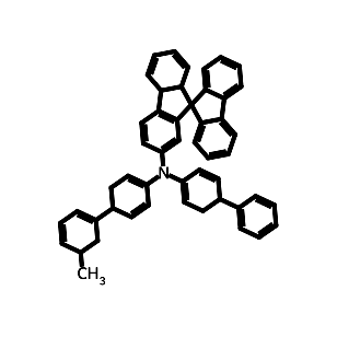 CC1C=CC=C(C2C=CC(N(C3=CCC(c4ccccc4)C=C3)c3ccc4c(c3)C3(c5ccccc5-c5ccccc53)C3C=CC=CC43)=CC2)C1